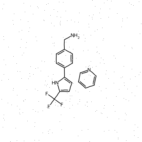 NCc1ccc(-c2ccc(C(F)(F)F)[nH]2)cc1.c1ccncc1